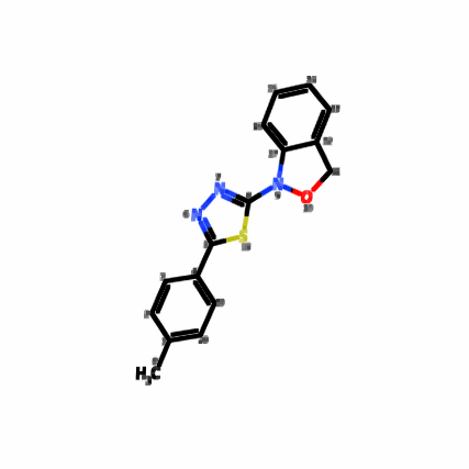 Cc1ccc(-c2nnc(N3OCc4ccccc43)s2)cc1